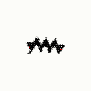 CCCCc1cc(C)c(N(c2ccc(N(c3ccc(N(c4ccc(C)cc4)c4ccc(N(c5ccc(N(c6ccc(C)cc6)c6ccc(N(c7ccc(N(c8c(C)cc(C)cc8C)c8c(C)cc(C)cc8C)cc7)c7c(C)cc(C)cc7C)cc6)cc5)c5c(C)cc(C)cc5C)cc4)cc3)c3c(C)cc(C)cc3C)cc2)c2c(C)cc(C)cc2C)c(C)c1